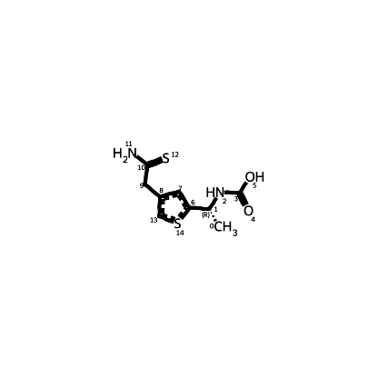 C[C@@H](NC(=O)O)c1cc(CC(N)=S)cs1